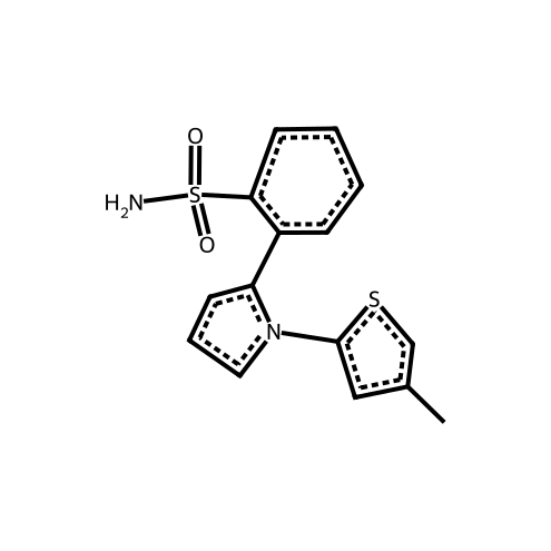 Cc1csc(-n2cccc2-c2ccccc2S(N)(=O)=O)c1